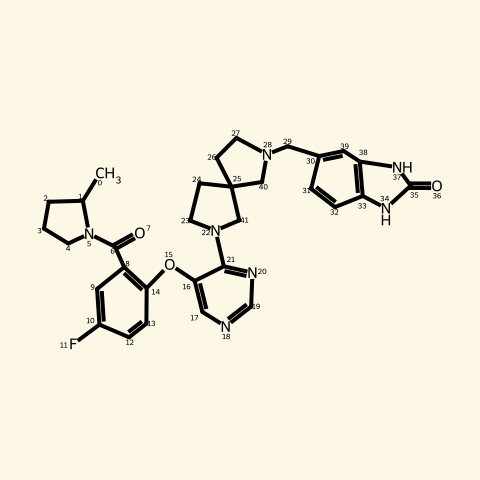 CC1CCCN1C(=O)c1cc(F)ccc1Oc1cncnc1N1CCC2(CCN(Cc3ccc4[nH]c(=O)[nH]c4c3)C2)C1